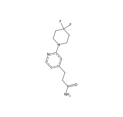 NC(=O)C[CH]c1ccnc(N2CCC(F)(F)CC2)c1